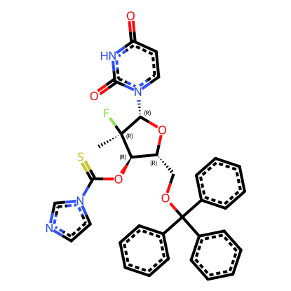 C[C@@]1(F)[C@H](OC(=S)n2ccnc2)[C@@H](COC(c2ccccc2)(c2ccccc2)c2ccccc2)O[C@H]1n1ccc(=O)[nH]c1=O